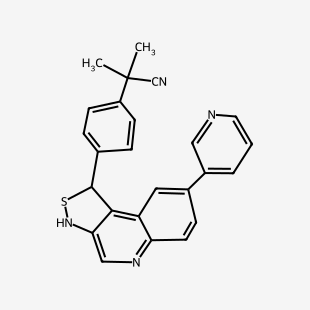 CC(C)(C#N)c1ccc(C2SNc3cnc4ccc(-c5cccnc5)cc4c32)cc1